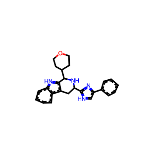 c1ccc(-c2c[nH]c(C3Cc4c([nH]c5ccccc45)C(C4CCOCC4)N3)n2)cc1